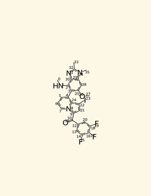 CNc1c(-c2cccn3c(C(=O)c4cc(F)c(F)c(F)c4)cc(I)c23)c(OC)cc2c1nc(C)n2C